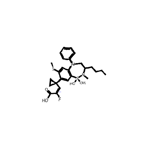 CCCCC1CN(c2ccccc2)c2cc(SC)c(C3(/C=C(/F)C(=O)O)CC3)cc2S(O)(O)N1C